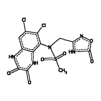 CS(=O)(=O)N(Cc1noc(=O)[nH]1)c1c(Cl)c(Cl)cc2[nH]c(=O)c(=O)[nH]c12